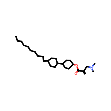 C=C(CN(C)C)C(=O)OC1CCC(C2CCC(CCCCCCCCCC)CC2)CC1